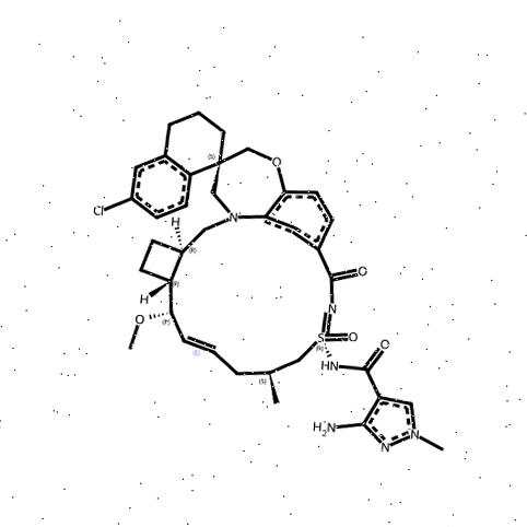 CO[C@H]1/C=C/C[C@H](C)C[S@@](=O)(NC(=O)c2cn(C)nc2N)=NC(=O)c2ccc3c(c2)N(C[C@@H]2CC[C@H]21)C[C@@]1(CCCc2cc(Cl)ccc21)CO3